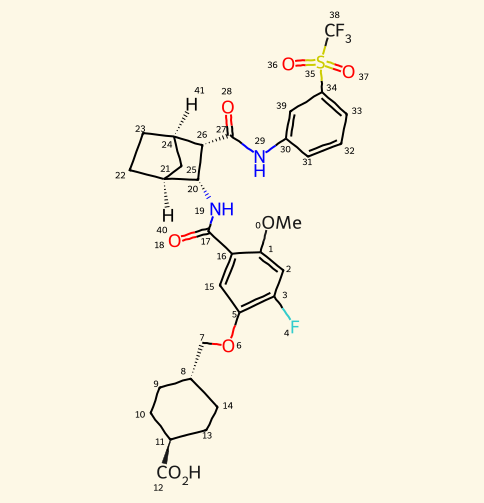 COc1cc(F)c(OC[C@H]2CC[C@H](C(=O)O)CC2)cc1C(=O)N[C@@H]1[C@H]2CC[C@H](C2)[C@@H]1C(=O)Nc1cccc(S(=O)(=O)C(F)(F)F)c1